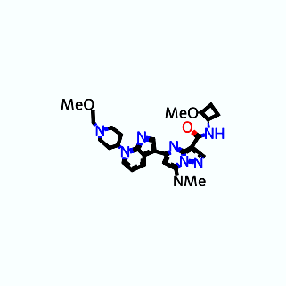 CNc1cc(-c2cnc3n(C4CCN(CCOC)CC4)cccc2-3)nc2c(C(=O)N[C@@H]3CC[C@H]3OC)cnn12